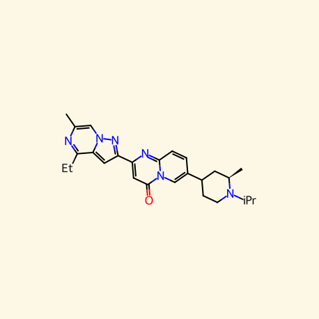 CCc1nc(C)cn2nc(-c3cc(=O)n4cc(C5CCN(C(C)C)[C@H](C)C5)ccc4n3)cc12